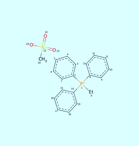 CC[P+](c1ccccc1)(c1ccccc1)c1ccccc1.CS(=O)(=O)[O-]